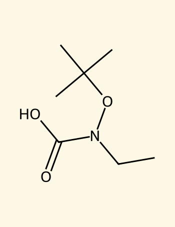 CCN(OC(C)(C)C)C(=O)O